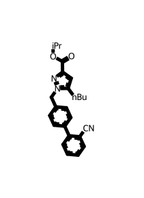 CCCCc1cc(C(=O)OC(C)C)nn1Cc1ccc(-c2ccccc2C#N)cc1